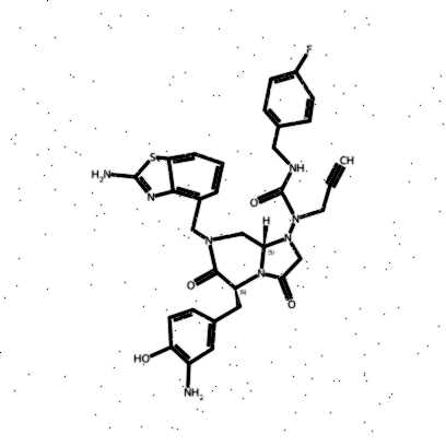 C#CCN(C(=O)NCc1ccc(F)cc1)N1CC(=O)N2[C@@H](Cc3ccc(O)c(N)c3)C(=O)N(Cc3cccc4sc(N)nc34)C[C@@H]21